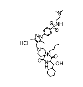 CCCCN1C(=O)[C@@H]([C@H](O)C2CCCCC2)NC(=O)C12CCN(Cc1c(C)nn(-c3ccc(S(=O)(=O)NCCN(C)C)cc3)c1C)CC2.Cl